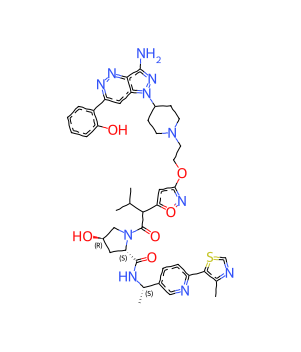 Cc1ncsc1-c1ccc([C@H](C)NC(=O)[C@@H]2C[C@@H](O)CN2C(=O)C(c2cc(OCCN3CCC(n4nc(N)c5nnc(-c6ccccc6O)cc54)CC3)no2)C(C)C)cn1